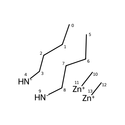 CCCC[NH-].CCCC[NH-].[CH3][Zn+].[CH3][Zn+]